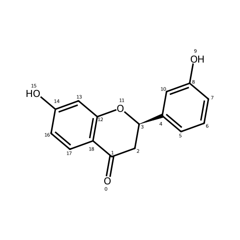 O=C1C[C@H](c2cccc(O)c2)Oc2cc(O)ccc21